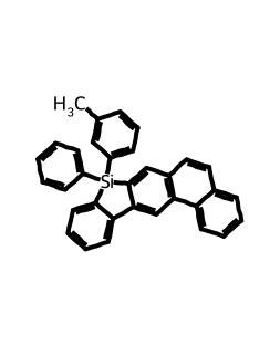 Cc1cccc([Si]2(c3ccccc3)c3ccccc3-c3cc4c(ccc5ccccc54)cc32)c1